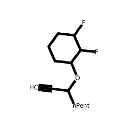 C#CC(CCCCC)OC1CCCC(F)C1F